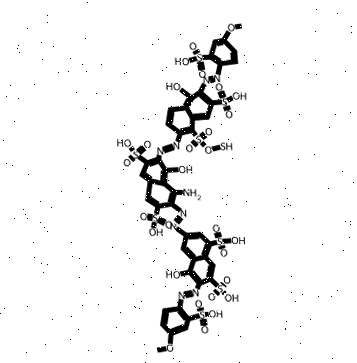 COc1ccc(N=Nc2c(S(=O)(=O)O)cc3c(S(=O)(=O)O)cc(N=Nc4c(S(=O)(=O)O)cc5cc(S(=O)(=O)O)c(N=Nc6ccc7c(O)c(N=Nc8ccc(OC)cc8S(=O)(=O)O)c(S(=O)(=O)O)cc7c6S(=O)(=O)OS)c(O)c5c4N)cc3c2O)c(S(=O)(=O)O)c1